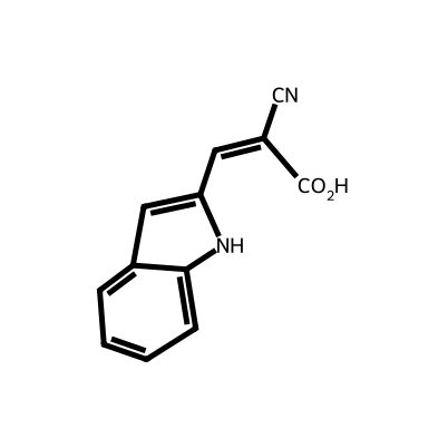 N#CC(=Cc1cc2ccccc2[nH]1)C(=O)O